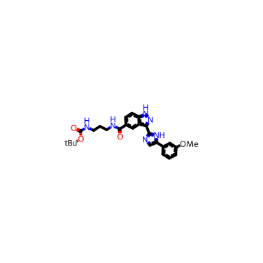 COc1cccc(-c2cnc(-c3n[nH]c4ccc(C(=O)NCCCNC(=O)OC(C)(C)C)cc34)[nH]2)c1